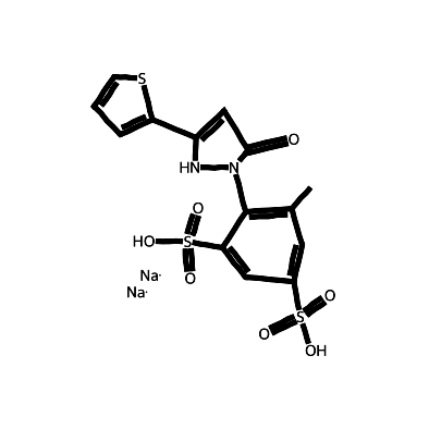 Cc1cc(S(=O)(=O)O)cc(S(=O)(=O)O)c1-n1[nH]c(-c2cccs2)cc1=O.[Na].[Na]